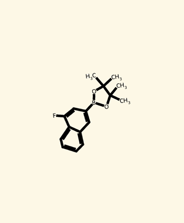 CC1(C)OB(c2cc(F)c3ccccc3c2)OC1(C)C